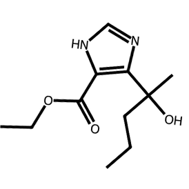 CCCC(C)(O)c1nc[nH]c1C(=O)OCC